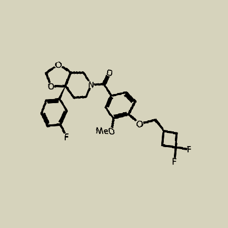 COc1cc(C(=O)N2CC[C@]3(c4cccc(F)c4)OCOC3C2)ccc1OCC1CC(F)(F)C1